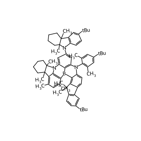 Cc1cc(C)c2c3c1B1c4c(cc(N5c6ccc(C(C)(C)C)cc6C6(C)CCCCC56C)cc4N3C3(C)CCCCC23C)N(c2c(C)cc(C(C)(C)C)cc2C)c2ccc3c(c21)C(C)(C)c1ccc(C(C)(C)C)cc1-3